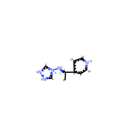 C/C(=N\n1cnnc1)c1ccncc1